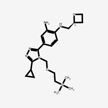 C[Si](C)(C)CCOCn1c(-c2ccc(NC[C@@H]3CCO3)c(N)c2)nnc1C1CC1